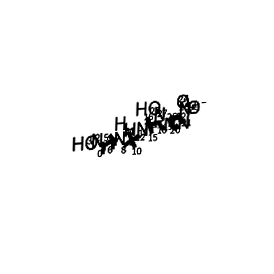 CC(=NO)C(C)(C)NCC(C)(C)CNC(C)(C)C(Cn1cnc([N+](=O)[O-])c1)=NO